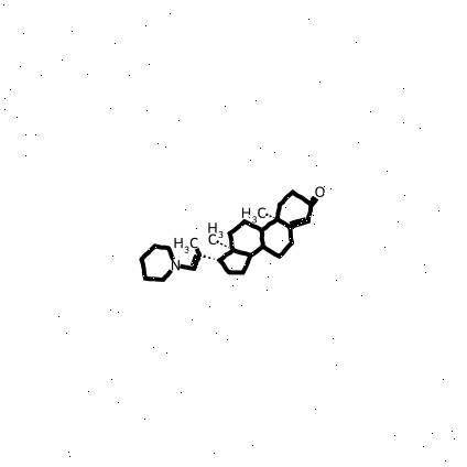 C/C(=C\N1CCCCC1)[C@H]1CCC2C3CCC4=CC(=O)CC[C@]4(C)C3CC[C@@]21C